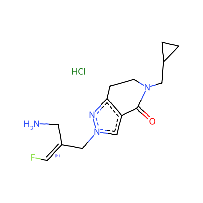 Cl.NC/C(=C\F)Cn1cc2c(n1)CCN(CC1CC1)C2=O